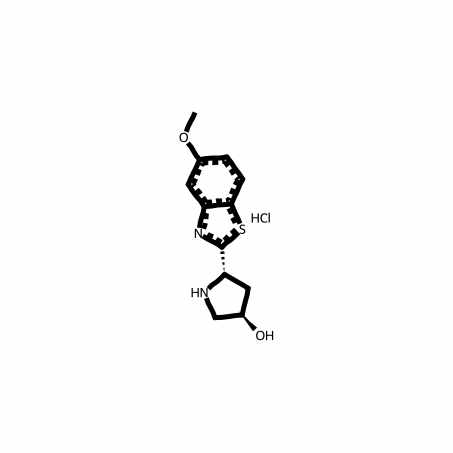 COc1ccc2sc([C@@H]3C[C@@H](O)CN3)nc2c1.Cl